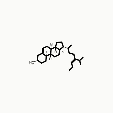 CCC=C(CCC(C)[C@H]1CC[C@H]2[C@@H]3CC=C4C[C@@H](O)CC[C@]4(C)[C@H]3CC[C@]12C)C(C)C